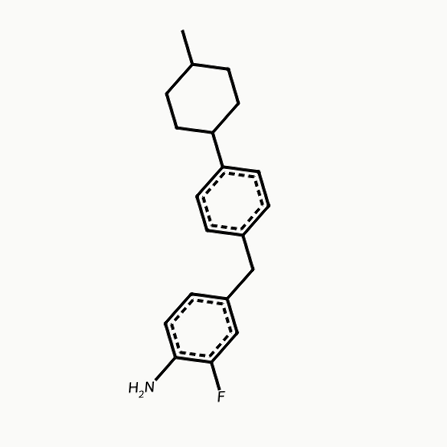 CC1CCC(c2ccc(Cc3ccc(N)c(F)c3)cc2)CC1